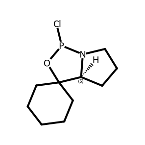 ClP1OC2(CCCCC2)[C@@H]2CCCN21